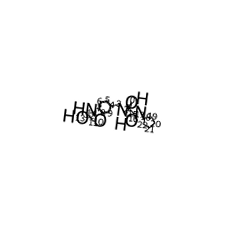 O=C(NCc1ccc2c(c1)OC[C@@H](O)N2)C(=O)NC1CCCC1